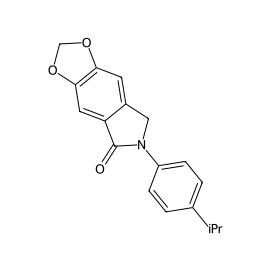 CC(C)c1ccc(N2Cc3cc4c(cc3C2=O)OCO4)cc1